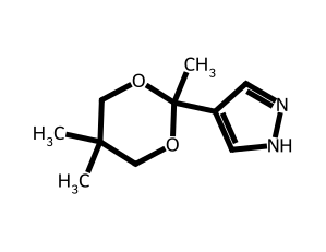 CC1(C)COC(C)(c2cn[nH]c2)OC1